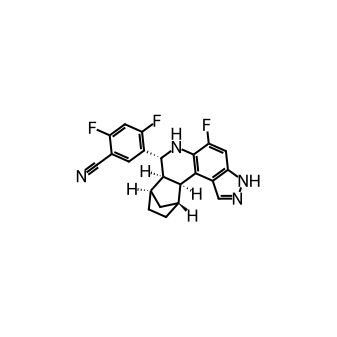 N#Cc1cc([C@@H]2Nc3c(F)cc4[nH]ncc4c3[C@H]3[C@@H]4CC[C@H](C4)[C@H]32)c(F)cc1F